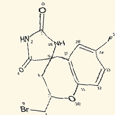 O=C1NC(=O)C2(CC(CBr)Oc3ccc(F)cc32)N1